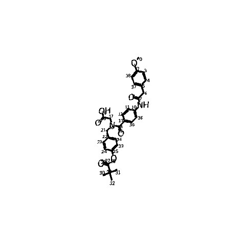 COc1ccc(CC(=O)Nc2ccc(C(=O)N(CC(=O)O)Cc3ccc(OC(=O)C(C)(C)C)cc3)cc2)cc1